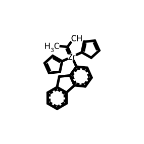 C[C](C)=[Zr]([C]1=CC=CC1)([C]1=CC=CC1)[c]1cccc2c1Cc1ccccc1-2